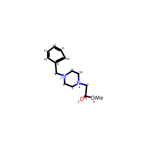 COC(=O)CN1CCN(Cc2ccccc2)CC1